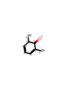 CC(C)C1=CC=CC(C(C)C)C1=O